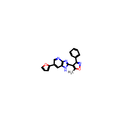 Cc1onc(-c2ccccc2)c1-c1nc2ncc(-c3ccco3)cc2[nH]1